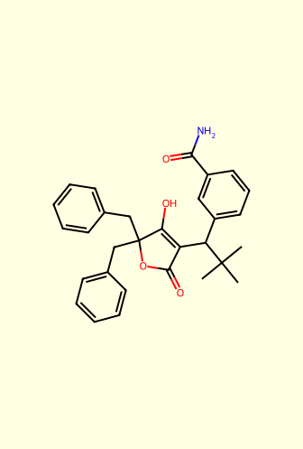 CC(C)(C)C(C1=C(O)C(Cc2ccccc2)(Cc2ccccc2)OC1=O)c1cccc(C(N)=O)c1